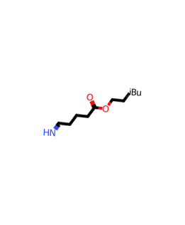 CCC(C)CCOC(=O)CCCC=N